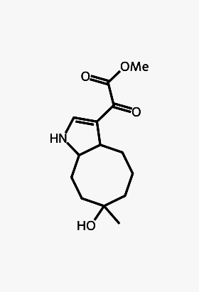 COC(=O)C(=O)C1=CNC2CCC(C)(O)CCCC12